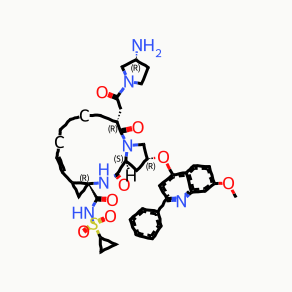 COc1ccc2c(O[C@@H]3C[C@H]4C(=O)N[C@]5(C(=O)NS(=O)(=O)C6CC6)CC5C=CCCCCC[C@H](CC(=O)N5CC[C@@H](N)C5)C(=O)N4C3)cc(-c3ccccc3)nc2c1